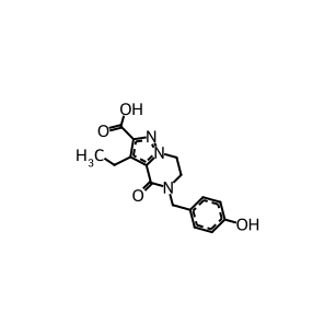 CCc1c(C(=O)O)nn2c1C(=O)N(Cc1ccc(O)cc1)CC2